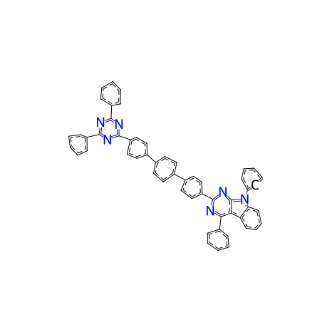 c1ccc(-c2nc(-c3ccccc3)nc(-c3ccc(-c4ccc(-c5ccc(-c6nc(-c7ccccc7)c7c8ccccc8n(-c8ccccc8)c7n6)cc5)cc4)cc3)n2)cc1